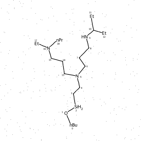 CCCCO[SiH2]CCN(CCCNC(CC)CC)CCCN(CC)CCC